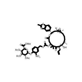 C=CC[C@H]1C(=O)C(C)(C)[C@@H](OC(=O)OCc2ccc(O[C@@H]3O[C@H](C(=O)OC)[C@@H](OC(C)=O)[C@H](OC(C)=O)[C@H]3OC(C)=O)c([N+](=O)[O-])c2)CC(=O)O[C@H](c2ccc3sc(C)nc3c2)C[C@H]2O[C@@]2(C)CCC[C@H](C)[C@@H]1O